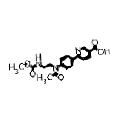 COC(=O)NCCN(C(C)=O)c1ccc(-c2ccc(C(=O)O)cn2)cc1